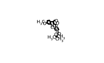 COc1ccc2c(C=O)c(C(=O)N3CCN(C(=O)OC(C)(C)C)CC3)n(C)c2c1